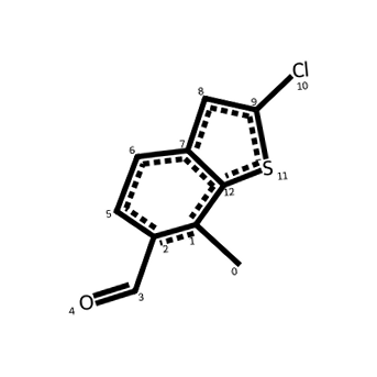 Cc1c(C=O)ccc2cc(Cl)sc12